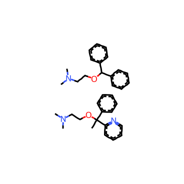 CN(C)CCOC(C)(c1ccccc1)c1ccccn1.CN(C)CCOC(c1ccccc1)c1ccccc1